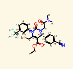 CCOC(=O)C1=C(CBr)N(c2cccc(C(F)(F)F)c2)C(=O)N(CC(=O)N(C)C)[C@@H]1c1ccc(C#N)cc1